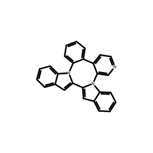 c1ccc2c(c1)cc1c3cc4ccccc4n3c3cnccc3c3ccccc3n21